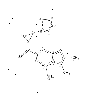 Cc1nc2cc(C(=O)C3OC3c3ccsc3)cc(N)n2c1C